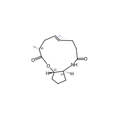 C[C@@H]1C/C=C/CCC(=O)N[C@H]2CCC[C@@H]2OC1=O